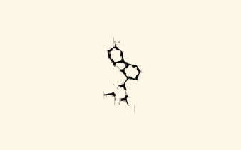 Clc1nc(Cl)nc(-c2cccc3c2oc2ccc(Br)cc23)n1